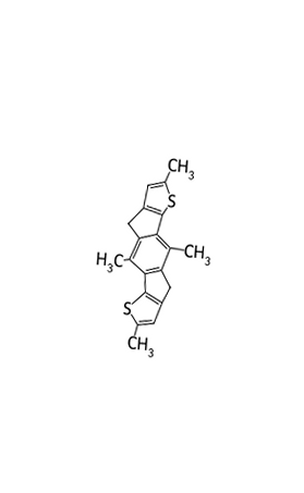 Cc1cc2c(s1)-c1c(C)c3c(c(C)c1C2)-c1sc(C)cc1C3